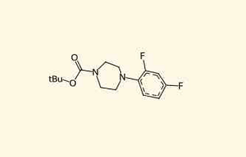 CC(C)(C)OC(=O)N1CCN(c2ccc(F)cc2F)CC1